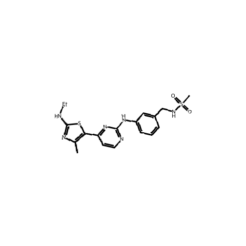 CCNc1nc(C)c(-c2ccnc(Nc3cccc(CNS(C)(=O)=O)c3)n2)s1